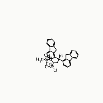 CCC(C[CH](O[Si](C)(C)C)[Zr]([Cl])[Cl])(c1cccc2c1Cc1ccccc1-2)c1cccc2c1Cc1ccccc1-2